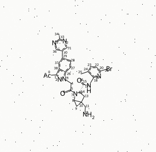 CC(=O)c1nn(CC(=O)N2C3CC3(CN)C[C@H]2C(=O)Nc2nc(Br)ccc2C)c2ccc(-c3cnc(C)nc3)cc12